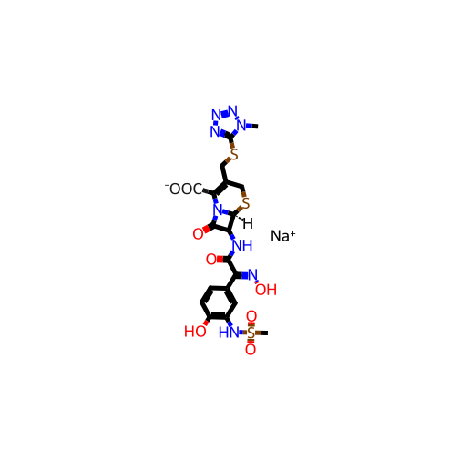 Cn1nnnc1SCC1=C(C(=O)[O-])N2C(=O)C(NC(=O)C(=NO)c3ccc(O)c(NS(C)(=O)=O)c3)[C@@H]2SC1.[Na+]